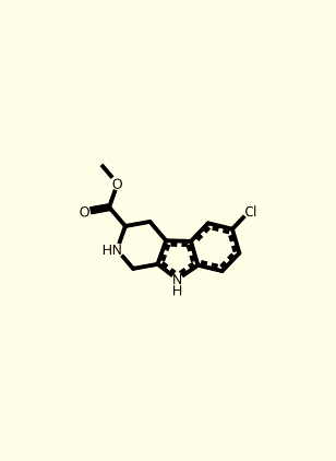 COC(=O)C1Cc2c([nH]c3ccc(Cl)cc23)CN1